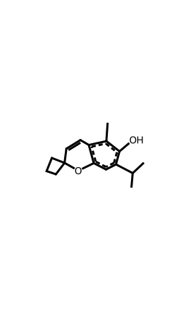 Cc1c(O)c(C(C)C)cc2c1C=CC1(CCC1)O2